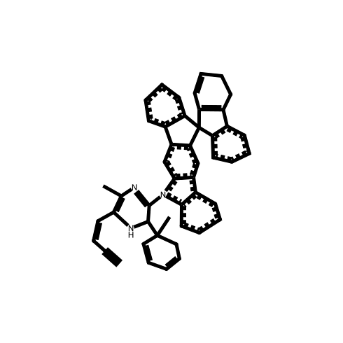 C#C/C=C\C1=C(C)N=C(n2c3ccccc3c3cc4c(cc32)-c2ccccc2C42C3=C(CCC=C3)c3ccccc32)C(C2(C)C=CC=CC2)N1